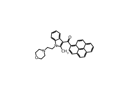 Cc1c(C(=O)c2ccc3ccc4cccc5ccc2c3c45)c2ccccc2n1CCN1CCOCC1